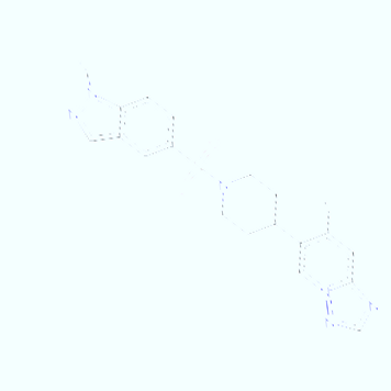 Cc1cc2ncnn2cc1C1CCN(S(=O)(=O)c2ccc3c(cnn3C)c2)CC1